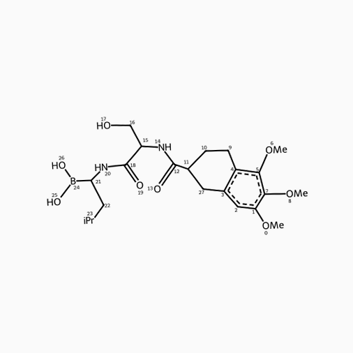 COc1cc2c(c(OC)c1OC)CCC(C(=O)NC(CO)C(=O)NC(CC(C)C)B(O)O)C2